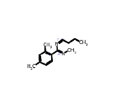 CCC/C=N\C(=N/C)c1ccc(C)cc1C